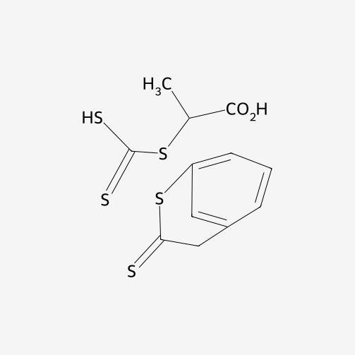 CC(SC(=S)S)C(=O)O.S=C1Cc2cccc(c2)S1